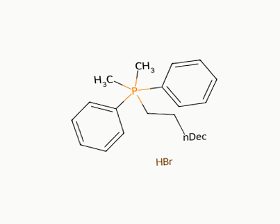 Br.CCCCCCCCCCCCP(C)(C)(c1ccccc1)c1ccccc1